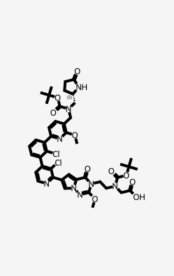 COc1nc(-c2cccc(-c3ccnc(-c4cc5c(=O)n(CCN(CC(=O)O)C(=O)OC(C)(C)C)c(OC)nn5c4)c3Cl)c2Cl)ccc1CN(C[C@@H]1CCC(=O)N1)C(=O)OC(C)(C)C